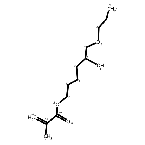 [CH2]CCOCC(O)CCCCOC(=O)C(=C)C